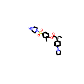 CC[C@@H](C(=O)Oc1ccc(S(=O)(=O)N2CCNCC2)cc1C)c1ccc(N2CCCC2)cc1